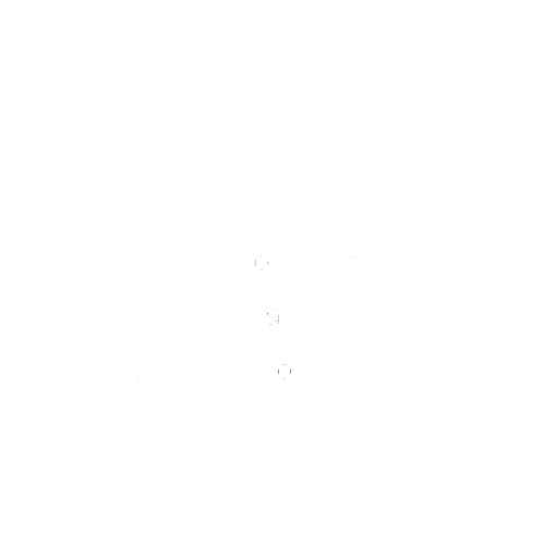 CO[Si](CC1CCCCC1)(OC)C1CCCC1